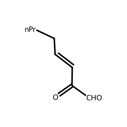 CCCCC=CC(=O)C=O